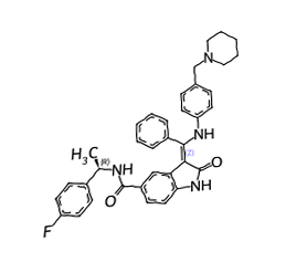 C[C@@H](NC(=O)c1ccc2c(c1)/C(=C(/Nc1ccc(CN3CCCCC3)cc1)c1ccccc1)C(=O)N2)c1ccc(F)cc1